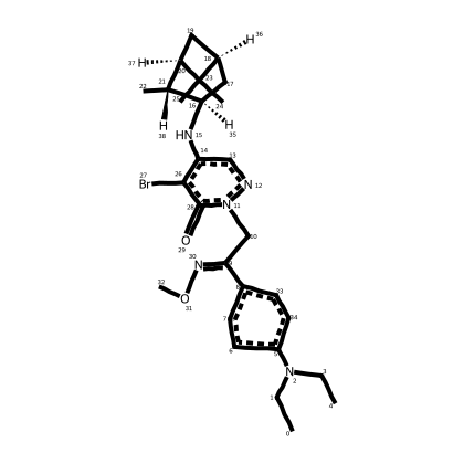 CCN(CC)c1ccc(C(Cn2ncc(N[C@@H]3C[C@@H]4C[C@H]([C@H]3C)C4(C)C)c(Br)c2=O)=NOC)cc1